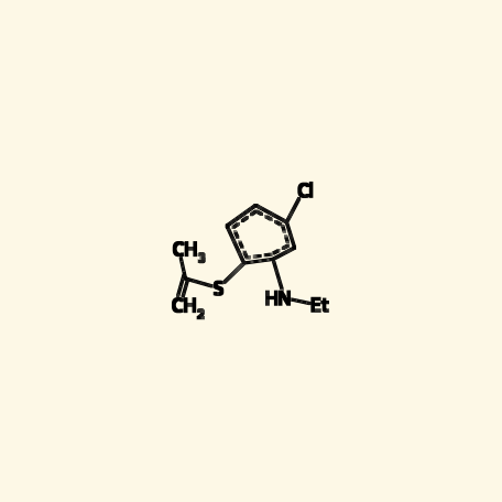 C=C(C)Sc1ccc(Cl)cc1NCC